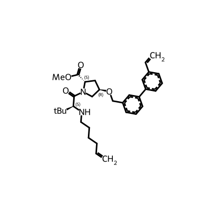 C=CCCCCN[C@H](C(=O)N1C[C@H](OCc2cccc(-c3cccc(C=C)c3)c2)C[C@H]1C(=O)OC)C(C)(C)C